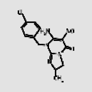 CC1CN2C(=O)C(N=O)=C(N)N(Cc3ccc(Cl)cc3)C2=N1